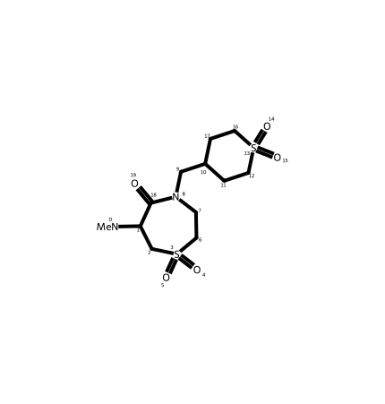 CNC1CS(=O)(=O)CCN(CC2CCS(=O)(=O)CC2)C1=O